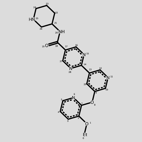 CCOc1cccnc1Oc1cncc(-c2ncc(C(=O)NC3CCCNC3)cn2)c1